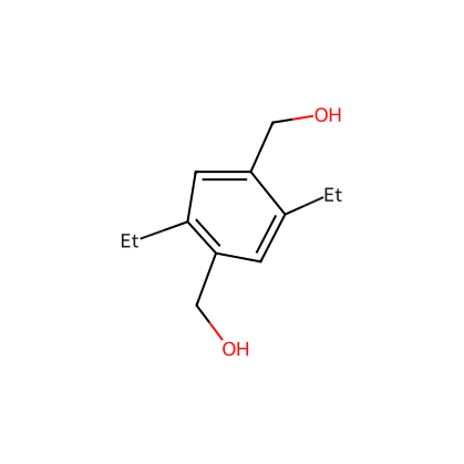 CCc1cc(CO)c(CC)cc1CO